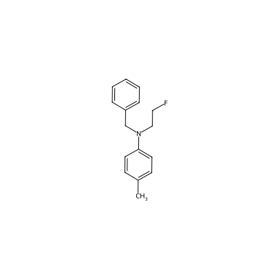 Cc1ccc(N(CCF)Cc2ccccc2)cc1